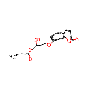 C=CC(=O)OCC(O)CCOc1ccc2ccc(=O)oc2c1